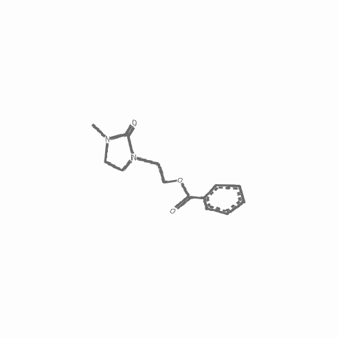 CN1CCN(CCOC(=O)c2ccccc2)C1=O